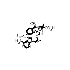 C[C@@H](Cn1cnc2c(N)ncnc21)OCP(=O)(N[C@H](c1ccc(OC(F)(F)F)cc1)C(F)(F)F)NC(C)(C)C(=O)O